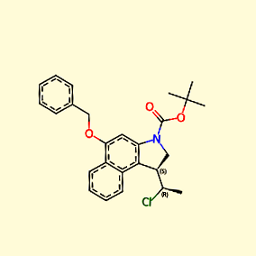 C[C@@H](Cl)[C@@H]1CN(C(=O)OC(C)(C)C)c2cc(OCc3ccccc3)c3ccccc3c21